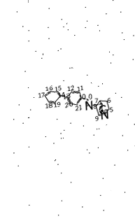 C(=NC1CN2CCC1CC2)c1ccc(-c2ccccc2)cc1